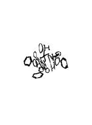 O=C(NCC(CO)(CNC(=O)Oc1ccccc1)CNC(=O)Oc1ccccc1)Oc1ccccc1